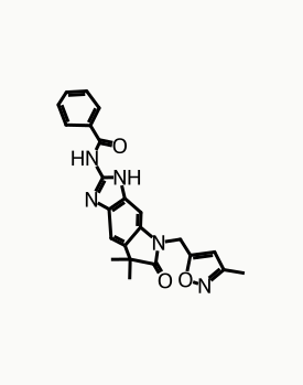 Cc1cc(CN2C(=O)C(C)(C)c3cc4nc(NC(=O)c5ccccc5)[nH]c4cc32)on1